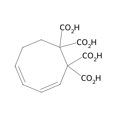 O=C(O)C1(C(=O)O)C=CC=CCCC1(C(=O)O)C(=O)O